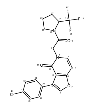 O=C(Cn1cnc2occ(-c3ccc(Cl)cc3)c2c1=O)N1CCCC1C(F)(F)F